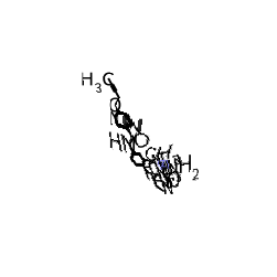 CC#CCOc1cnc(C(=O)Nc2ccc(F)c(C(C)(C)/N=C(/N)N3CCCCN=[SH]3=O)c2)cn1